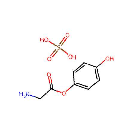 NCC(=O)Oc1ccc(O)cc1.O=S(=O)(O)O